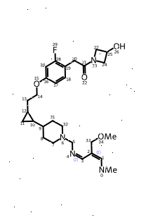 CN/C=C(\C=N/CN1CCC(C2CC2CCOc2ccc(CC(=O)N3CC(O)C3)c(F)c2)CC1)COC